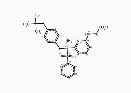 CCCC(C)(C)Cc1ccc(CC(N)(c2cccc(NCC(=O)O)n2)S(=O)(=O)c2ccccn2)cc1